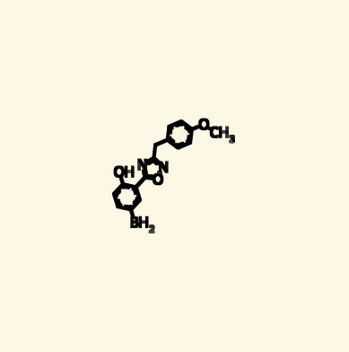 Bc1ccc(O)c(-c2nc(Cc3ccc(OC)cc3)no2)c1